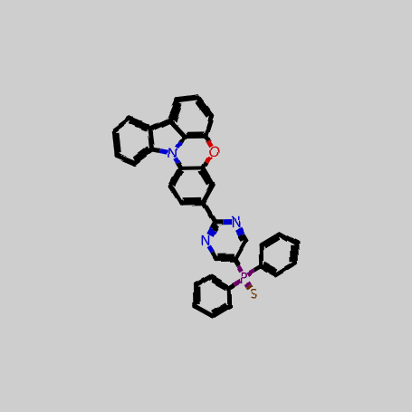 S=P(c1ccccc1)(c1ccccc1)c1cnc(-c2ccc3c(c2)Oc2cccc4c5ccccc5n-3c24)nc1